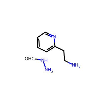 NCCc1ccccn1.NNC=O